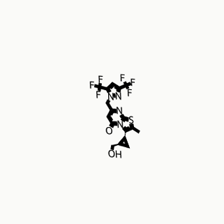 Cc1sc2nc(Cn3nc(C(F)(F)F)cc3C(F)(F)F)cc(=O)n2c1[C@@H]1C[C@H]1CO